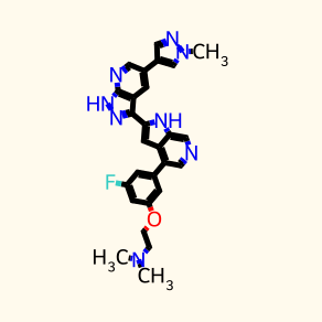 CN(C)CCOc1cc(F)cc(-c2cncc3[nH]c(-c4n[nH]c5ncc(-c6cnn(C)c6)cc45)cc23)c1